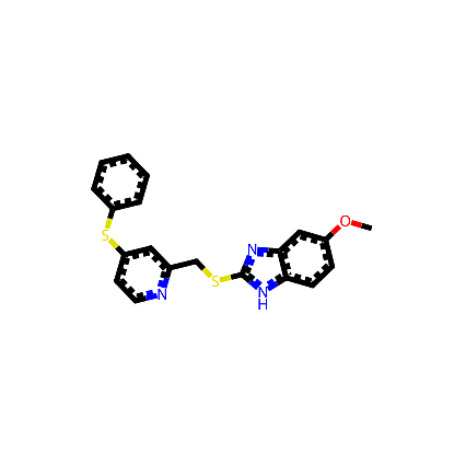 COc1ccc2[nH]c(SCc3cc(Sc4ccccc4)ccn3)nc2c1